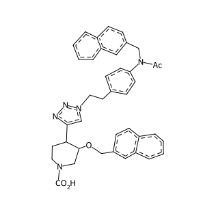 CC(=O)N(Cc1ccc2ccccc2c1)c1ccc(CCn2cc(C3CCN(C(=O)O)CC3OCc3ccc4ccccc4c3)nn2)cc1